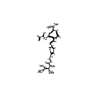 C=C(C)C(=O)Oc1cc(N(CCCC)CCCC)ccc1/C=C/c1ccc(/C=C/C(C)=C(\C#N)C(OC)=C(C#N)C#N)s1